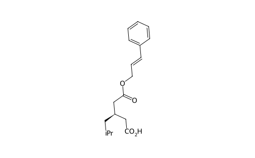 CC(C)C[C@H](CC(=O)O)CC(=O)OC/C=C/c1ccccc1